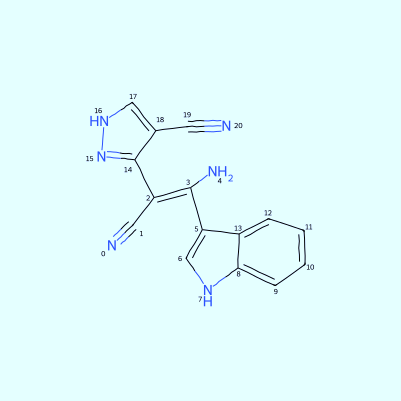 N#CC(=C(N)c1c[nH]c2ccccc12)c1n[nH]cc1C#N